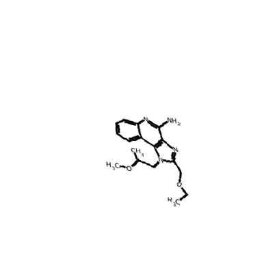 CCOCc1nc2c(N)nc3ccccc3c2n1CC(C)OC